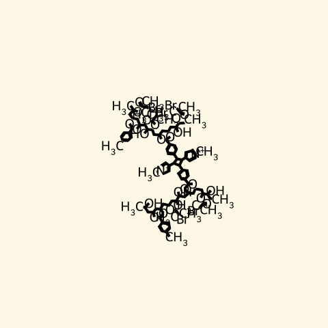 CCC(O)C(CC1CC(CC(O)C(CCCC2CC(CC(C)O)OC(c3ccc(C)cc3)O2)OC(=O)C(C)(C)Br)OC(c2ccc(C3C(c4cc[n+](C)cc4)C(c4ccc(C5OC(CC(O)C(CC)OC(=O)C(C)(C)Br)CC(CC(OC(=O)C(C)(C)Br)C(O)CC6CC(CC(C)OC(=O)C(C)(C)Br)OC(c7ccc(C)cc7)O6)O5)cc4)C3c3cc[n+](C)cc3)cc2)O1)OC(=O)C(C)(C)Br